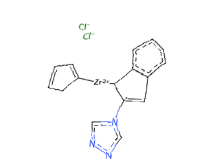 C1=CC[C]([Zr+2][CH]2C(n3cnnc3)=Cc3ccccc32)=C1.[Cl-].[Cl-]